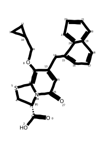 O=C(O)[C@@H]1CSc2c(OCC3CC3)c(Cc3cccc4ccccc34)cc(=O)n21